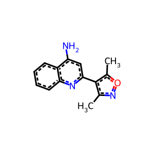 Cc1noc(C)c1-c1cc(N)c2ccccc2n1